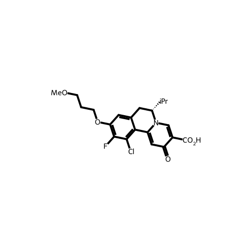 COCCCOc1cc2c(c(Cl)c1F)-c1cc(=O)c(C(=O)O)cn1[C@@H](C(C)C)C2